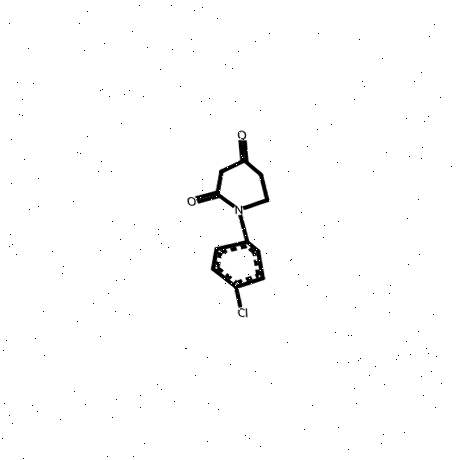 O=C1CCN(c2ccc(Cl)cc2)C(=O)C1